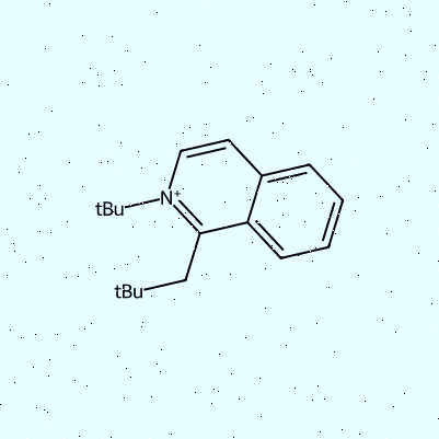 CC(C)(C)Cc1c2ccccc2cc[n+]1C(C)(C)C